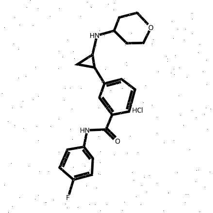 Cl.O=C(Nc1ccc(F)cc1)c1cccc(C2CC2NC2CCOCC2)c1